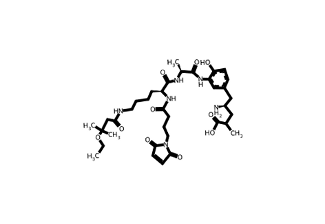 CCOC(C)(C)CC(=O)NCCCC[C@H](NC(=O)CCCN1C(=O)C=CC1=O)C(=O)N[C@@H](C)C(=O)Nc1cc(C[C@H](N)CC(C)C(=O)O)ccc1O